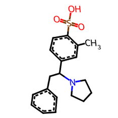 Cc1cc(C(Cc2ccccc2)N2CCCC2)ccc1S(=O)(=O)O